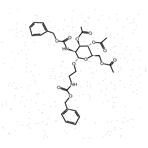 CC(=O)OC[C@H]1O[C@H](OCCNC(=O)OCc2ccccc2)[C@@H](NC(=O)OCc2ccccc2)[C@@H](OC(C)=O)[C@@H]1OC(C)=O